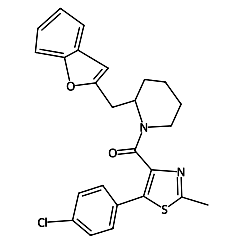 Cc1nc(C(=O)N2CCCCC2Cc2cc3ccccc3o2)c(-c2ccc(Cl)cc2)s1